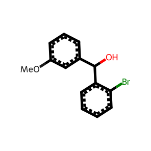 COc1cccc(C(O)c2ccccc2Br)c1